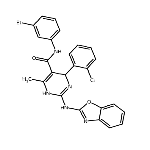 CCc1cccc(NC(=O)C2=C(C)NC(Nc3nc4ccccc4o3)=NC2c2ccccc2Cl)c1